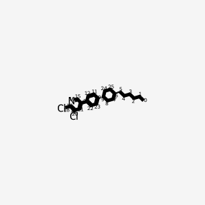 CCCCCC[C@H]1CC[C@H](c2ccc(-c3cnc(Cl)c(Cl)c3)cc2)CC1